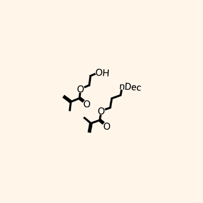 C=C(C)C(=O)OCCCCCCCCCCCCC.C=C(C)C(=O)OCCO